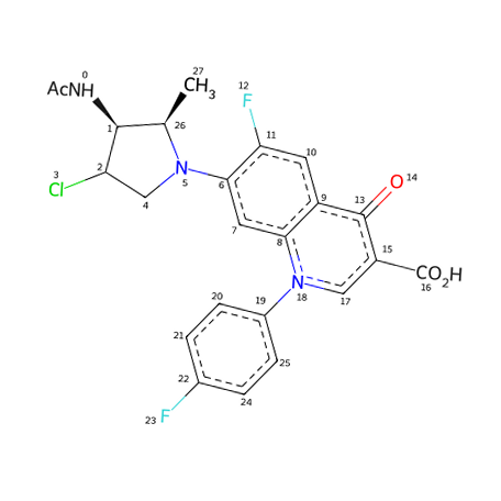 CC(=O)N[C@@H]1C(Cl)CN(c2cc3c(cc2F)c(=O)c(C(=O)O)cn3-c2ccc(F)cc2)[C@@H]1C